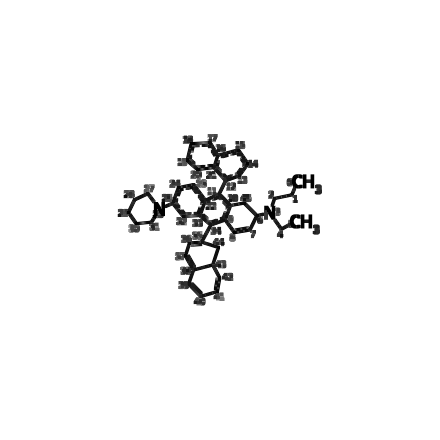 CCCN(CC)C1C=Cc2c(c(-c3cccc4ccccc34)c3ccc(N4CCCCC4)cc3c2C2=CC=C3C=CC=CC3C2)C1